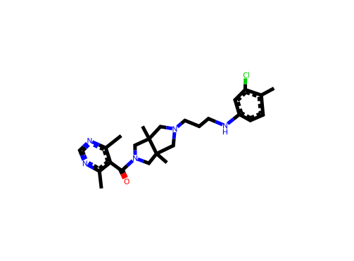 Cc1ccc(NCCCN2CC3(C)CN(C(=O)c4c(C)ncnc4C)CC3(C)C2)cc1Cl